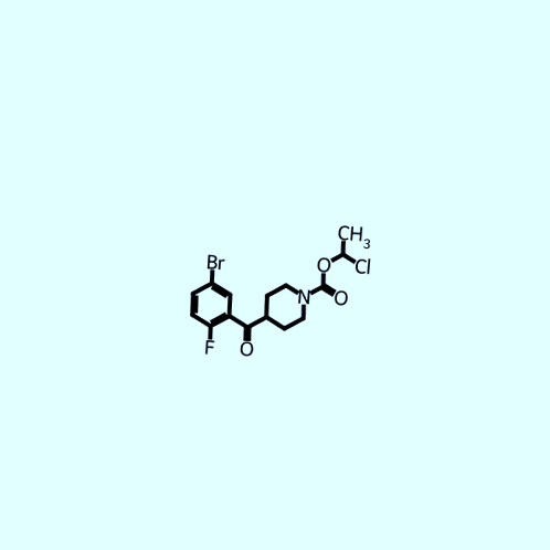 CC(Cl)OC(=O)N1CCC(C(=O)c2cc(Br)ccc2F)CC1